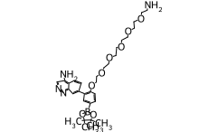 CC1(C)OB(c2ccc(OCCOCCOCCOCCOCCOCCN)c(-c3ccc4c(N)cnnc4c3)c2)OC1(C)C